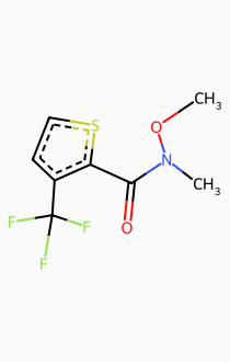 CON(C)C(=O)c1sccc1C(F)(F)F